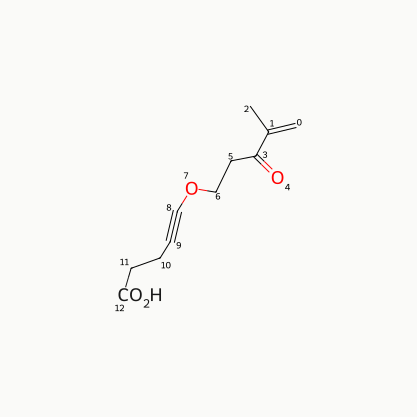 C=C(C)C(=O)CCOC#CCCC(=O)O